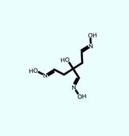 ON=CCC(O)(C=NO)CC=NO